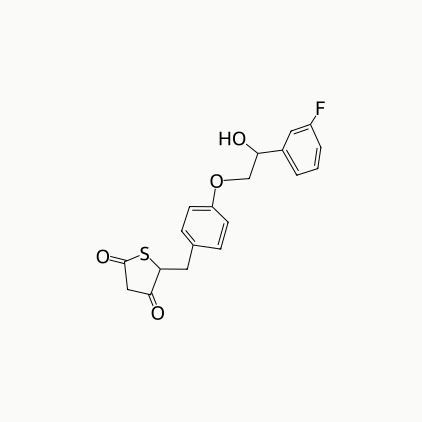 O=C1CC(=O)C(Cc2ccc(OCC(O)c3cccc(F)c3)cc2)S1